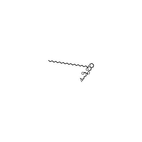 CCCCCCCCCCCCCCCCCCCCCC(=O)N1CCCCC1CCON(C=O)CCCN(C)C